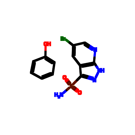 NS(=O)(=O)c1n[nH]c2ncc(Br)cc12.Oc1ccccc1